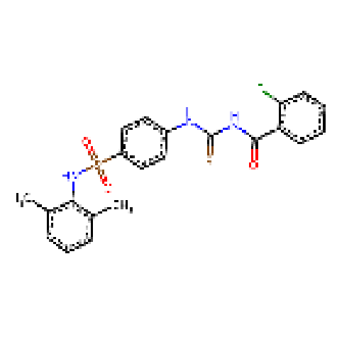 Cc1cccc(C)c1NS(=O)(=O)c1ccc(NC(=S)NC(=O)c2ccccc2F)cc1